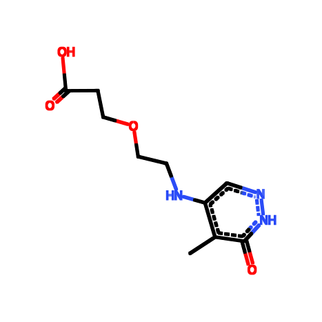 Cc1c(NCCOCCC(=O)O)cn[nH]c1=O